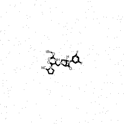 CC(C)(C)OC(=O)NC(CN1C[C@@H]2CC1C(=O)N2c1cc(F)cc(F)c1)C(=O)N1CCCC1C#N